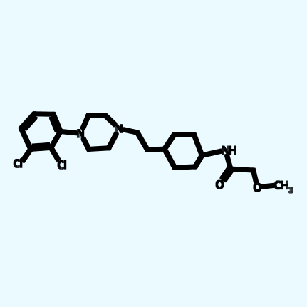 COCC(=O)NC1CCC(CCN2CCN(c3cccc(Cl)c3Cl)CC2)CC1